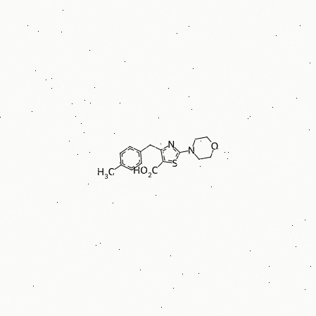 Cc1ccc(Cc2nc(N3CCOCC3)sc2C(=O)O)cc1